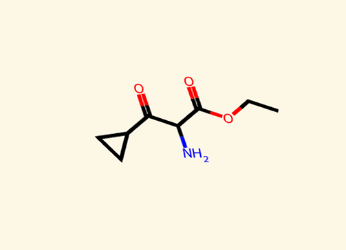 CCOC(=O)C(N)C(=O)C1CC1